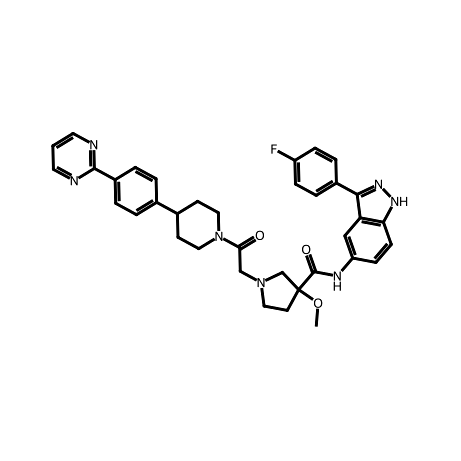 COC1(C(=O)Nc2ccc3[nH]nc(-c4ccc(F)cc4)c3c2)CCN(CC(=O)N2CCC(c3ccc(-c4ncccn4)cc3)CC2)C1